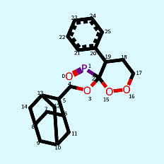 O=PC1(OCC2C3CC4CC(C3)CC2C4)OOCCC1c1ccccc1